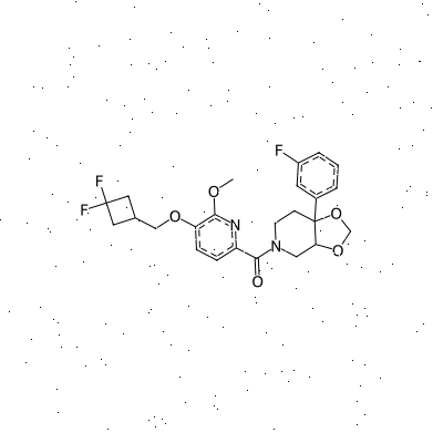 COc1nc(C(=O)N2CCC3(c4cccc(F)c4)OCOC3C2)ccc1OCC1CC(F)(F)C1